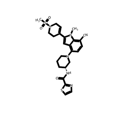 Cn1c(C2=CCN(S(C)(=O)=O)CC2)cc2c(N3CCC[C@@H](NC(=O)c4nccs4)C3)ccc(C#N)c21